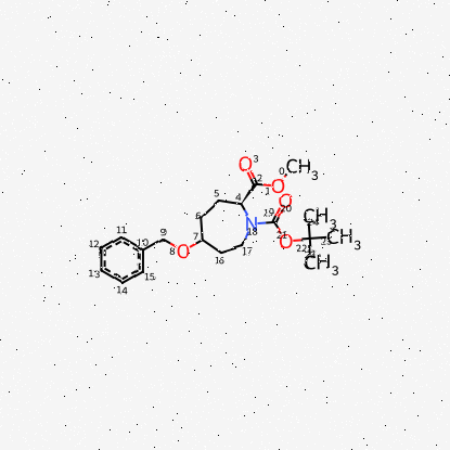 COC(=O)[C@@H]1CCC(OCc2ccccc2)CCN1C(=O)OC(C)(C)C